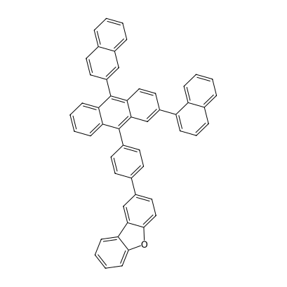 c1ccc2cc(-c3c4ccccc4c(-c4ccc(-c5ccc6oc7ccccc7c6c5)cc4)c4cc(-c5cccc6ccccc56)ccc34)ccc2c1